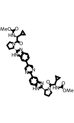 COC(=O)N[C@H](C(=O)N1CCC[C@H]1c1nc2cc(-c3ncc(-c4ccc5nc([C@@H]6CCCN6C(=O)[C@@H](NC(=O)OC)C6CC6)[nH]c5c4)cn3)ccc2[nH]1)C1CC1